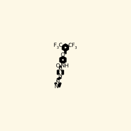 O=C(Nc1ccc(OCc2cc(C(F)(F)F)cc(C(F)(F)F)c2)cc1)N1CCN(CCn2ccnc2)CC1